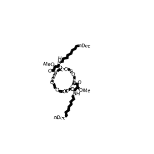 CCCCCCCCCCCCCCCCCCNC(=O)C(OC)C(=O)N1CCOCCOCCOCCN(C(=O)C(OC)C(=O)NCCCCCCCCCCCCCCCCCC)CCOCCOCC1